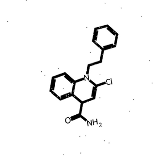 NC(=O)C1C=C(Cl)N(CCc2ccccc2)c2ccccc21